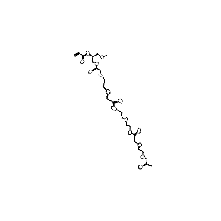 C=CC(=O)OC(COC)COC(=O)COCCOCC(=O)OCCOCCOC(=O)COCCOCC(C)=O